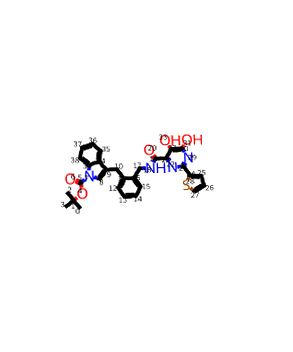 CC(C)(C)OC(=O)n1cc(Cc2ccccc2CNC(=O)c2nc(-c3cccs3)nc(O)c2O)c2ccccc21